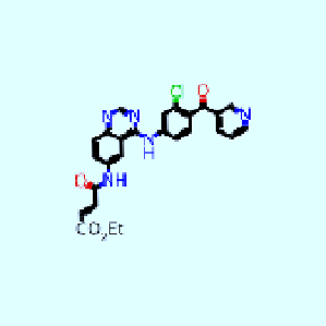 CCOC(=O)C=CC(=O)Nc1ccc2ncnc(Nc3ccc(C(=O)c4cccnc4)c(Cl)c3)c2c1